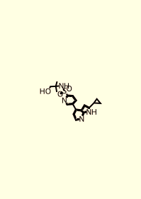 CC(C)(CO)NS(=O)(=O)c1ccc(-c2ccnc3[nH]c(C4CC4)cc23)cn1